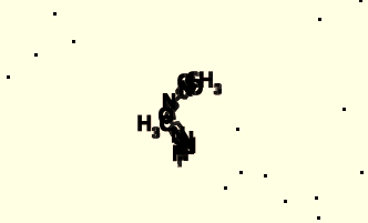 CC1(C2CCN(c3nnc(C(F)(F)F)s3)CC2)Cc2cc(C3=CCN(S(C)(=O)=O)CC3)ncc2O1